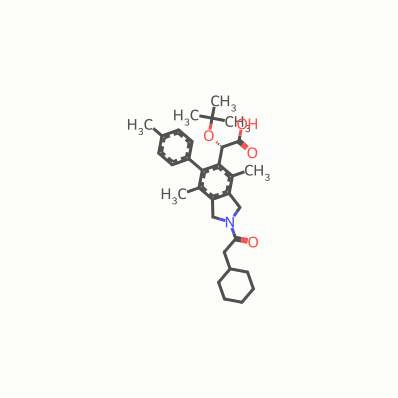 Cc1ccc(-c2c(C)c3c(c(C)c2[C@H](OC(C)(C)C)C(=O)O)CN(C(=O)CC2CCCCC2)C3)cc1